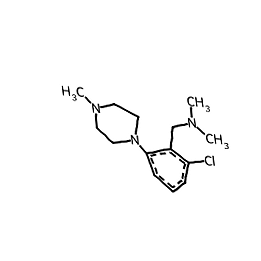 CN(C)Cc1c(Cl)cccc1N1CCN(C)CC1